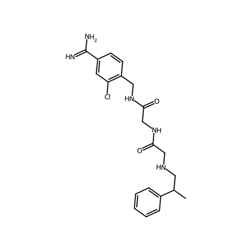 CC(CNCC(=O)NCC(=O)NCc1ccc(C(=N)N)cc1Cl)c1ccccc1